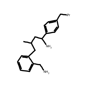 CC(C)Cc1ccc(C(N)CC(C)Cc2ccccc2CN)cc1